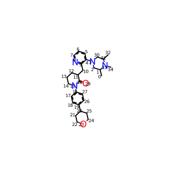 CC1CN(c2cccnc2CC2CCCN(c3ccc(C4CCOCC4)cc3)C2=O)CC(C)N1C